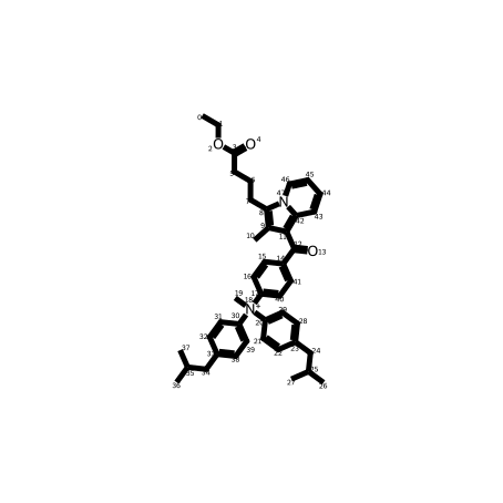 CCOC(=O)CCCc1c(C)c(C(=O)c2ccc([N+](C)(c3ccc(CC(C)C)cc3)c3ccc(CC(C)C)cc3)cc2)c2ccccn12